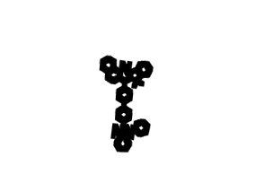 CC1(C)c2ccccc2-c2nc3c(ccc4ccccc43)c(-c3ccc(-c4ccc(-c5nc6ccccc6n5-c5ccccc5)cc4)cc3)c21